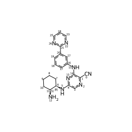 N#Cc1ncc(N[C@@H]2CCCC[C@@H]2N)nc1Nc1cccc(-c2ncccn2)c1